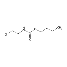 CCCCOC(=O)NCCCl